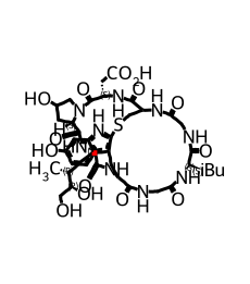 CC[C@H](C)[C@@H]1NC(=O)CNC(=O)C2Cc3c([nH]c4cc(O)ccc34)SCC(NC(=O)CNC1=O)C(=O)N[C@@H](CC(=O)O)C(=O)N1CC(O)C[C@H]1C(=O)N[C@@H]([C@@H](C)[C@@H](O)CO)C(=O)N2